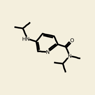 CC(C)Nc1ccc(C(=O)N(C)C(C)C)nc1